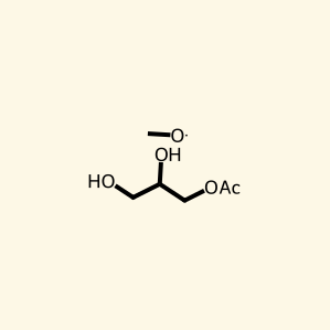 CC(=O)OCC(O)CO.C[O]